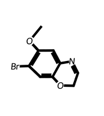 COc1cc2c(cc1Br)OCC=N2